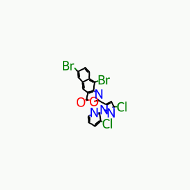 O=c1oc(-c2cc(Cl)nn2-c2ncccc2Cl)nc2c(Br)c3ccc(Br)cc3cc12